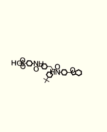 CC(C)(C)c1ccc(C(Cc2ccc(C(=O)Nc3ccc(S(=O)(=O)O)cc3)cc2)C(=O)Nc2ccc(-c3cc4ccccc4o3)cc2)cc1